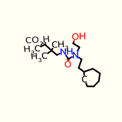 C[C@H](C(=O)O)C(C)(C)CNC(=O)N(CCO)CCC1CCCCCC1